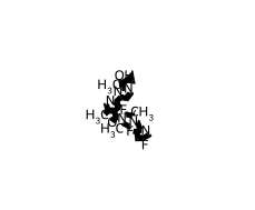 Cc1cnc(-c2ccnc([C@@](C)(O)C3CC3)n2)c(F)c1C(=O)N1C[C@H](C)N(Cc2ncc(F)cc2F)C[C@H]1C